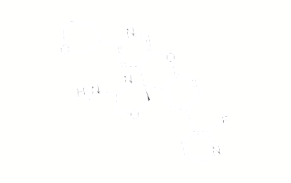 NC1=N[C@@]2(COC1)c1cc(-c3cccnc3F)ccc1Oc1cnc([C@H]3CCCOC3)cc12